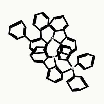 c1ccc(-c2cccc(-n3c4ccccc4c4cccc(-n5c6ccccc6c6cccc([Si](c7ccccc7)(c7ccccc7)c7ccccc7)c65)c43)c2-c2ccccc2)cc1